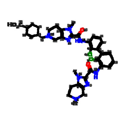 CCN1CCc2c(nc(C(=O)Nc3cccc(-c4cccc(NC(=O)c5nc6c(n5C)CCN(C[C@H]5CC[C@H](C(=O)O)CC5)C6)c4Cl)c3Cl)n2C)C1